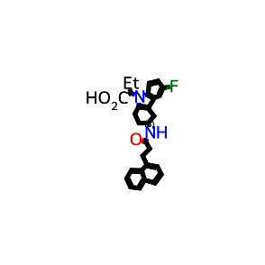 CCC(C(=O)O)n1c2c(c3cc(F)ccc31)C[C@@H](NC(=O)CCc1cccc3ccccc13)CC2